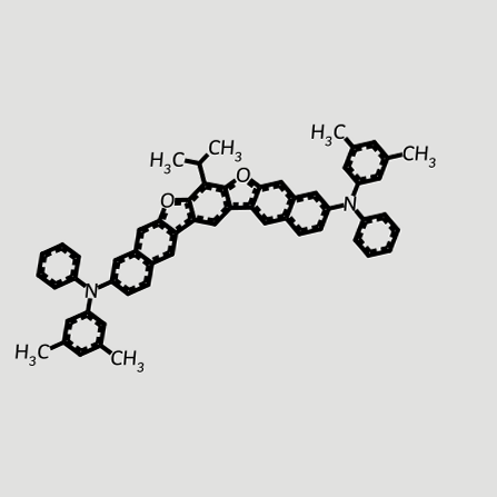 Cc1cc(C)cc(N(c2ccccc2)c2ccc3cc4c(cc3c2)oc2c(C(C)C)c3oc5cc6cc(N(c7ccccc7)c7cc(C)cc(C)c7)ccc6cc5c3cc24)c1